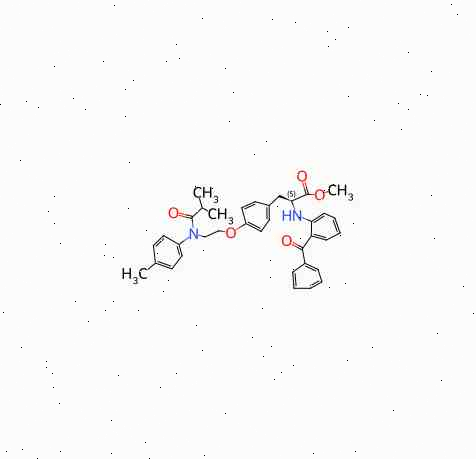 COC(=O)[C@H](Cc1ccc(OCCN(C(=O)C(C)C)c2ccc(C)cc2)cc1)Nc1ccccc1C(=O)c1ccccc1